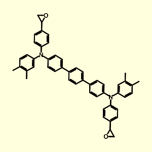 Cc1ccc(N(c2ccc(-c3ccc(-c4ccc(N(c5ccc(C6CO6)cc5)c5ccc(C)c(C)c5)cc4)cc3)cc2)c2ccc(C3CO3)cc2)cc1C